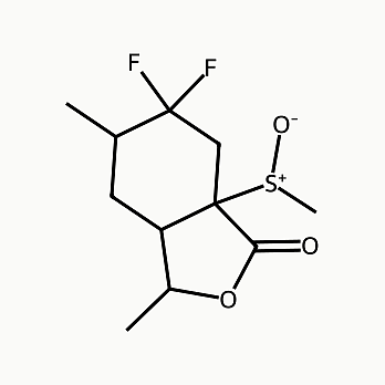 CC1OC(=O)C2([S+](C)[O-])CC(F)(F)C(C)CC12